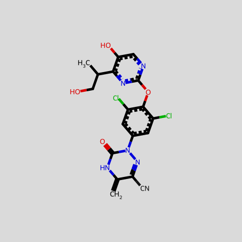 C=C1NC(=O)N(c2cc(Cl)c(Oc3ncc(O)c(C(C)CO)n3)c(Cl)c2)N=C1C#N